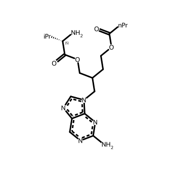 CCCC(=O)OCCC(COC(=O)[C@@H](N)C(C)C)Cn1cnc2cnc(N)nc21